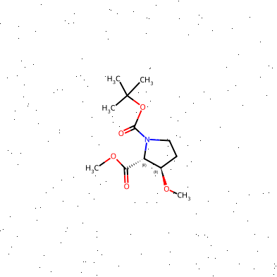 COC(=O)[C@H]1[C@H](OC)CCN1C(=O)OC(C)(C)C